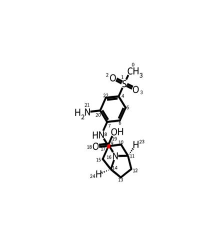 CS(=O)(=O)c1ccc(NC2C[C@H]3CC[C@@H](C2)N3C(=O)O)c(N)c1